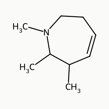 CC1C=CCCN(C)C1C